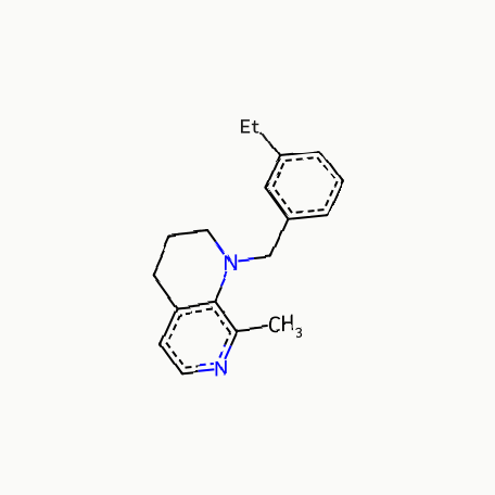 CCc1cccc(CN2CCCc3ccnc(C)c32)c1